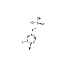 O[Si](O)(O)CCc1ccc(F)c(F)c1